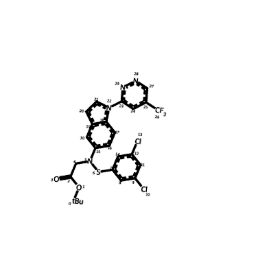 CC(C)(C)OC(=O)CN(Sc1cc(Cl)cc(Cl)c1)c1ccc2c(ccn2-c2cc(C(F)(F)F)cnn2)c1